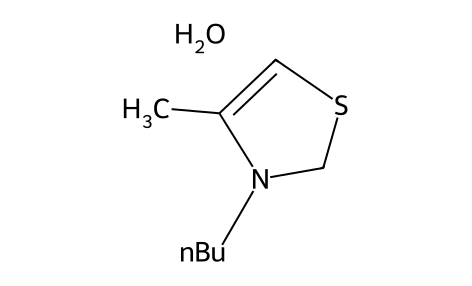 CCCCN1CSC=C1C.O